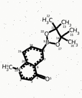 Cn1ccc(=O)c2cc(B3OC(C)(C)C(C)(C)O3)ccc21